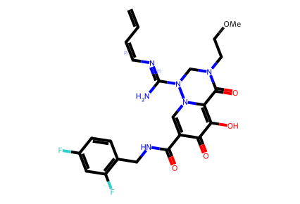 C=C/C=C\N=C(/N)N1CN(CCOC)C(=O)c2c(O)c(=O)c(C(=O)NCc3ccc(F)cc3F)cn21